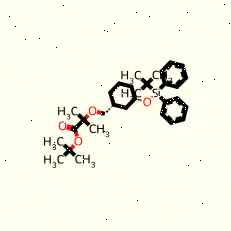 CC(C)(C)OC(=O)C(C)(C)OC[C@@H]1CCC[C@H](O[Si](c2ccccc2)(c2ccccc2)C(C)(C)C)C1